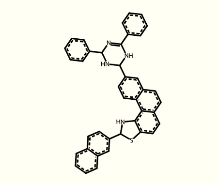 c1ccc(C2=NC(c3ccccc3)NC(c3ccc4c(ccc5ccc6c(c54)NC(c4ccc5ccccc5c4)S6)c3)N2)cc1